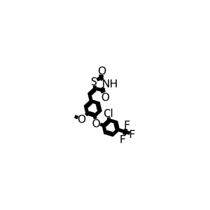 COc1cc(/C=C2/SC(=O)NC2=O)ccc1Oc1ccc(C(F)(F)F)cc1Cl